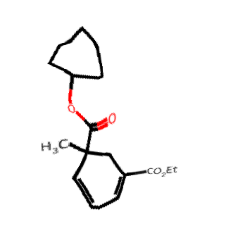 CCOC(=O)C1=CC=CC(C)(C(=O)OC2CCCCC2)C1